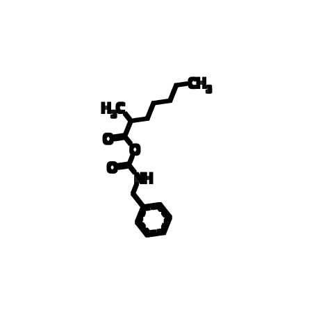 CCCCCC(C)C(=O)OC(=O)NCc1ccccc1